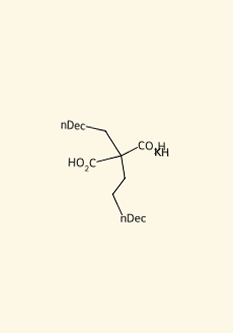 CCCCCCCCCCCCC(CCCCCCCCCCC)(C(=O)O)C(=O)O.[KH]